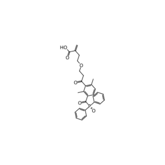 C=C(CCOCCC(=O)c1c(C)ccc(C(=O)P(=O)(c2ccccc2)c2ccccc2)c1C)C(=O)O